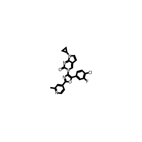 Cc1cc(-c2nc(-n3cc4ccn(C5CC5)c4nc3=O)c(-c3ccc(Cl)c(F)c3)o2)ccn1